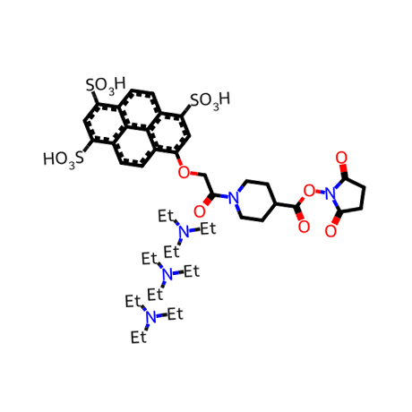 CCN(CC)CC.CCN(CC)CC.CCN(CC)CC.O=C(ON1C(=O)CCC1=O)C1CCN(C(=O)COc2cc(S(=O)(=O)O)c3ccc4c(S(=O)(=O)O)cc(S(=O)(=O)O)c5ccc2c3c54)CC1